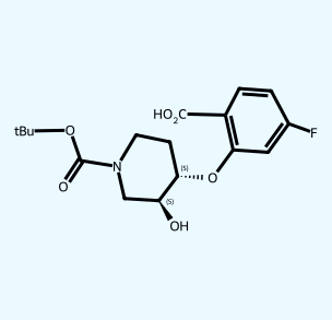 CC(C)(C)OC(=O)N1CC[C@H](Oc2cc(F)ccc2C(=O)O)[C@@H](O)C1